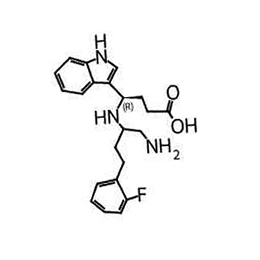 NCC(CCc1ccccc1F)N[C@H](CCC(=O)O)c1c[nH]c2ccccc12